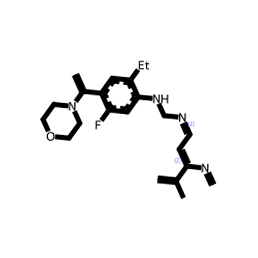 C=N/C(=C\C=N/CNc1cc(F)c(C(=C)N2CCOCC2)cc1CC)C(=C)C